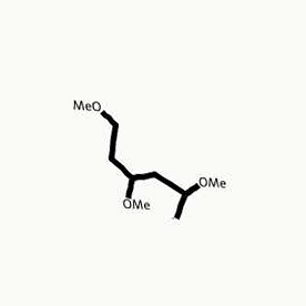 [CH2]C(CC(CCOC)OC)OC